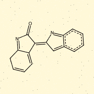 O=C1N=C2CC=CC=C2C1=C1C=c2ccccc2=N1